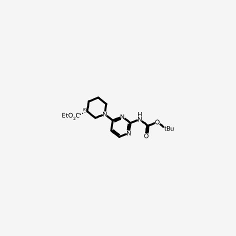 CCOC(=O)[C@@H]1CCCN(c2ccnc(NC(=O)OC(C)(C)C)n2)C1